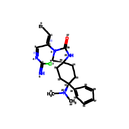 CC/C=C(\C=N/C(=N)Cl)N1C[C@]2(CC[C@](c3ccccc3)(N(C)C)CC2)NC1=O